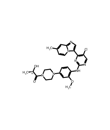 COc1cc(N2CCN(C(=O)[C@@H](C)O)CC2)ccc1Nc1ncc(Cl)c(-c2cnc3cc(C)ccn23)n1